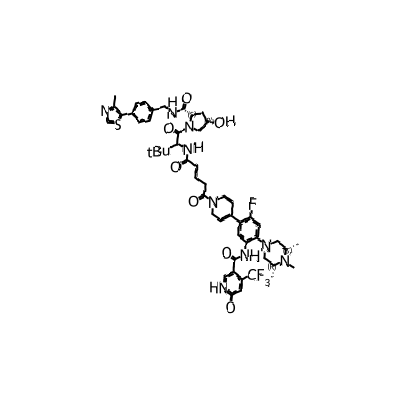 Cc1ncsc1-c1ccc(CNC(=O)[C@@H]2C[C@@H](O)CN2C(=O)C(NC(=O)CCCC(=O)N2CC=C(c3cc(NC(=O)c4c[nH]c(=O)cc4C(F)(F)F)c(N4C[C@@H](C)N(C)[C@@H](C)C4)cc3F)CC2)C(C)(C)C)cc1